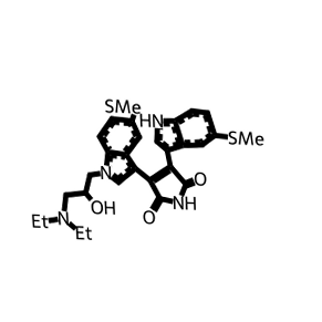 CCN(CC)CC(O)Cn1cc(C2=C(c3c[nH]c4ccc(SC)cc34)C(=O)NC2=O)c2cc(SC)ccc21